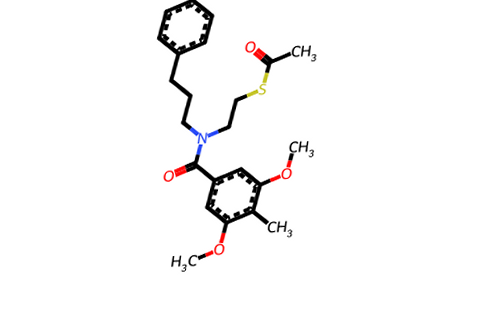 COc1cc(C(=O)N(CCCc2ccccc2)CCSC(C)=O)cc(OC)c1C